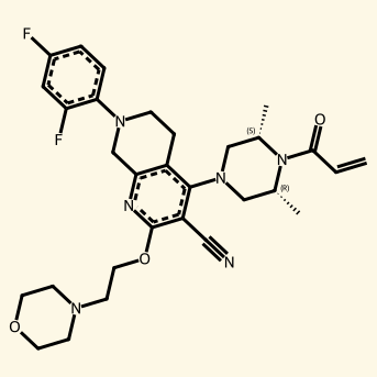 C=CC(=O)N1[C@H](C)CN(c2c(C#N)c(OCCN3CCOCC3)nc3c2CCN(c2ccc(F)cc2F)C3)C[C@@H]1C